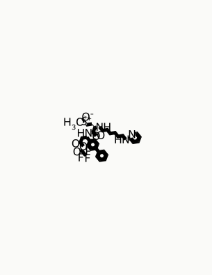 C[S+]([O-])CC[C@H](NC(=O)CCCCCNc1ccccn1)C(=O)NC(CC(=O)OC(=O)C(F)(F)F)c1ccc(-c2ccccc2)cc1